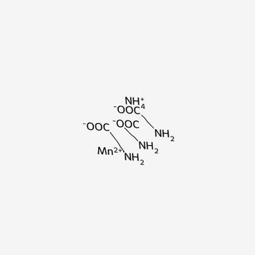 NC(=O)[O-].NC(=O)[O-].NC(=O)[O-].[Mn+2].[NH4+]